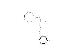 OC[C@@H](CN1CCCCCC1)NCCc1ccccc1